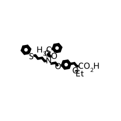 CCOC(Cc1ccc(OCCN(CCCCSc2ccccc2)C(=O)Oc2ccccc2C)cc1)C(=O)O